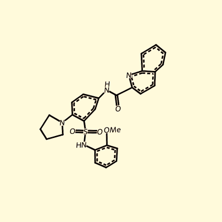 COc1ccccc1NS(=O)(=O)c1cc(NC(=O)c2ccc3ccccc3n2)ccc1N1CCCC1